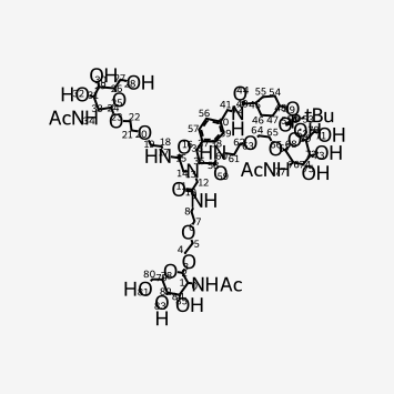 CC(=O)NC1C(OCCOCCNC(=O)CN(CC(=O)NCCOCCOC2OC(CO)C(O)C(O)C2NC(C)=O)C(Cc2ccc(CNC(=O)C3CCC(OP(=O)(O)C(C)(C)C)CC3)cc2)C(=O)NCCOCCOC2OC(CO)C(O)C(O)C2NC(C)=O)OC(CO)C(O)C1O